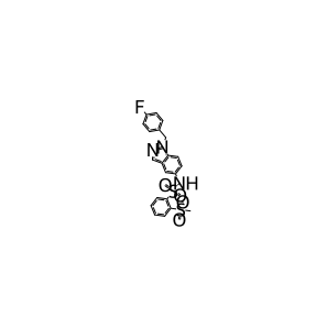 CS(=O)(=O)c1ccccc1S(=O)(=O)Nc1ccc2c(cnn2Cc2ccc(F)cc2)c1